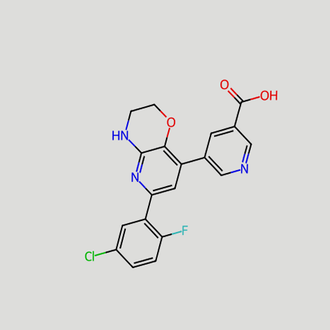 O=C(O)c1cncc(-c2cc(-c3cc(Cl)ccc3F)nc3c2OCCN3)c1